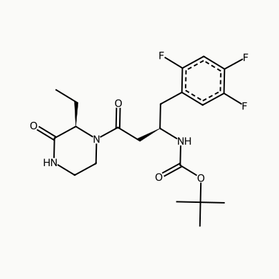 CC[C@@H]1C(=O)NCCN1C(=O)C[C@@H](Cc1cc(F)c(F)cc1F)NC(=O)OC(C)(C)C